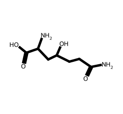 NC(=O)CCC(O)CC(N)C(=O)O